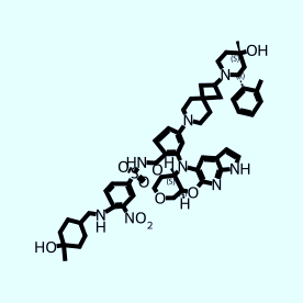 Cc1ccccc1[C@H]1C[C@@](C)(O)CCN1C1CC2(CCN(c3ccc(C(=O)NS(=O)(=O)c4ccc(NCC5CCC(C)(O)CC5)c([N+](=O)[O-])c4)c(N4c5cc6cc[nH]c6nc5O[C@H]5COCC[C@@H]54)c3)CC2)C1